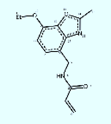 C=CC(=O)NCc1ccc(OCC)c2oc(C)nc12